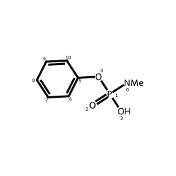 CNP(=O)(O)Oc1ccccc1